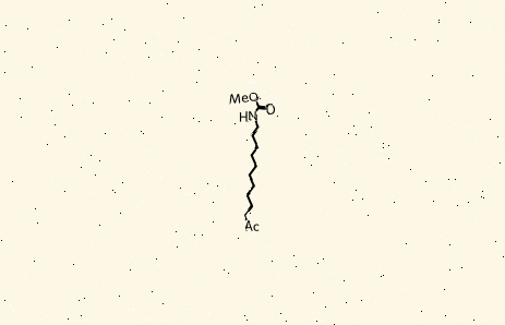 COC(=O)NCCCCCCCCCCC(C)=O